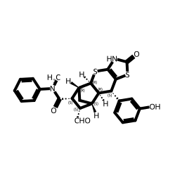 CN(C(=O)[C@H]1[C@@H](C=O)[C@@H]2C[C@H]1[C@H]1Sc3[nH]c(=O)sc3[C@H](c3cccc(O)c3)[C@@H]21)c1ccccc1